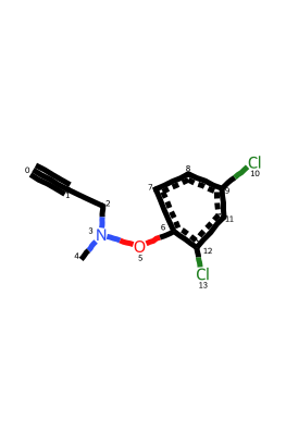 C#CCN(C)Oc1ccc(Cl)cc1Cl